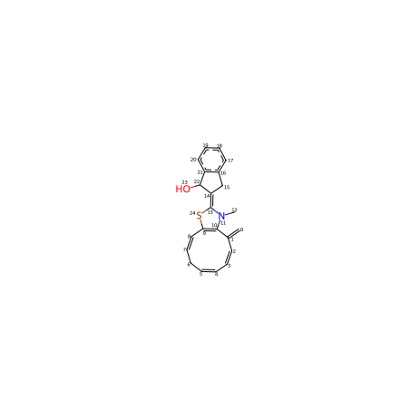 C=C1/C=C\C=C/C/C=C\C2=C1N(C)/C(=C1\Cc3ccccc3C1O)S2